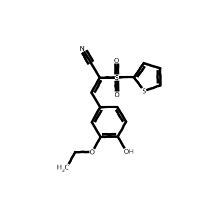 CCOc1cc(/C=C(/C#N)S(=O)(=O)c2cccs2)ccc1O